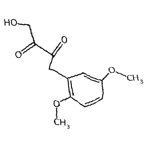 COc1ccc(OC)c(CC(=O)C(=O)CO)c1